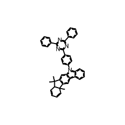 CC1(C)c2cc3c(cc2C2(C)C=CC=CC12)c1ccccc1n3-c1ccc(-c2nc(-c3ccccc3)nc(-c3ccccc3)n2)cc1